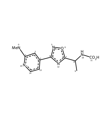 CNc1cc(-c2noc(C(C)NC(=O)O)n2)ccn1